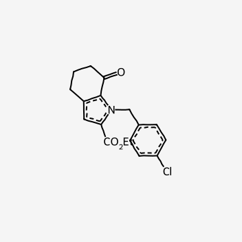 CCOC(=O)c1cc2c(n1Cc1ccc(Cl)cc1)C(=O)CCC2